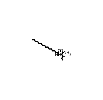 CCCCCCCCCCCCCCCC(=O)N[C@H](C(N)=O)[C@@H](C)CC